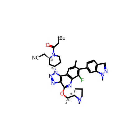 Cc1cc2c(nc(O[C@@H](C)[C@@H]3CCCN3C)c3nnn([C@H]4CCN(C(=O)CC(C)(C)C)[C@H](CC#N)C4)c32)c(F)c1-c1ccc2cnn(C)c2c1